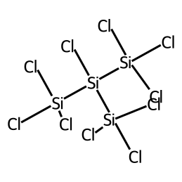 Cl[Si](Cl)(Cl)[Si](Cl)([Si](Cl)(Cl)Cl)[Si](Cl)(Cl)Cl